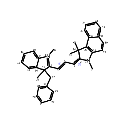 CN1/C(=C/C=C/C2=[N+](C)c3ccccc3C2(C)Cc2ccccc2)C(C)(C)c2c1ccc1ccccc21